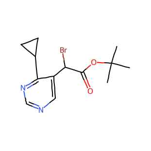 CC(C)(C)OC(=O)C(Br)c1cncnc1C1CC1